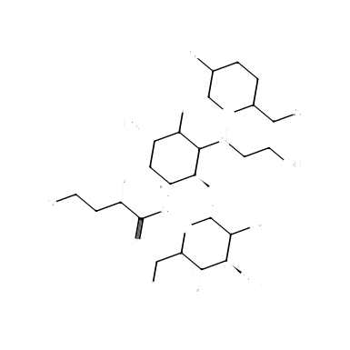 NCC[C@H](O)C(=O)N[C@@H]1C[C@H](N)C(O[C@H]2OC(CN)CCC2N)C(NCCO)[C@H]1O[C@H]1OC(CO)[C@@H](O)[C@H](N)C1O